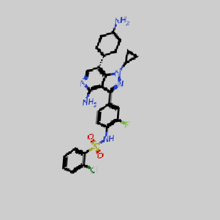 Nc1ncc([C@H]2CC[C@H](N)CC2)c2c1c(-c1ccc(NS(=O)(=O)c3ccccc3Cl)c(F)c1)nn2C1CC1